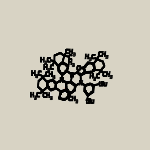 Cc1cc2c3c(c1)N(c1cc(C(C)(C)C)cc(C(C)(C)C)c1)c1c(oc4cc5c(cc14)C(C)(C)CCC5(C)C)B3c1cc3c(cc1N2c1cc2c(cc1-c1ccccc1)C(C)(C)CCC2(C)C)C(C)(C)CCC3(C)C